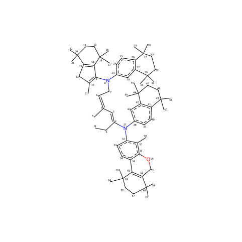 CC/C(=C\C(C)=C/CN(C1=C(C)CC2=C1C(C)(C)CCC2(C)C)c1ccc2c(c1)C(C)(C)CCC2(C)C)N(c1ccc2c(c1)C(C)(C)CCC2(C)C)c1ccc2c(c1C)OCC1=C2C(C)(C)CCC1(C)C